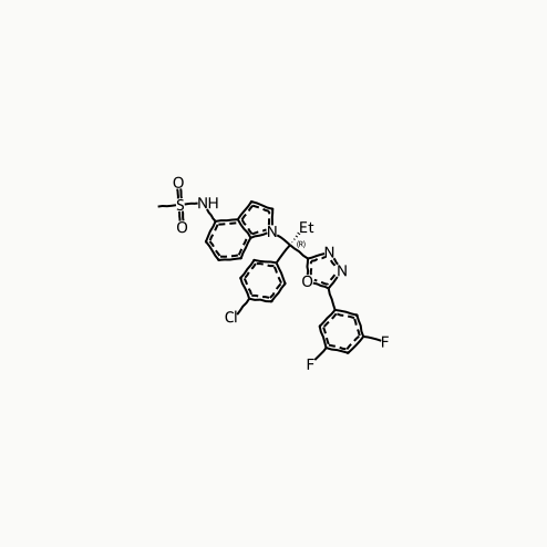 CC[C@@](c1ccc(Cl)cc1)(c1nnc(-c2cc(F)cc(F)c2)o1)n1ccc2c(NS(C)(=O)=O)cccc21